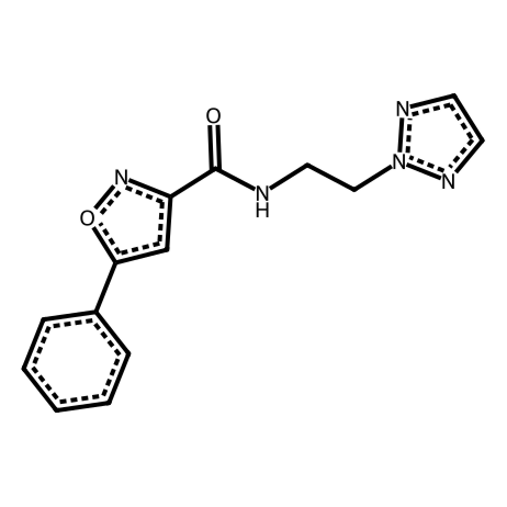 O=C(NCCn1nccn1)c1cc(-c2ccccc2)on1